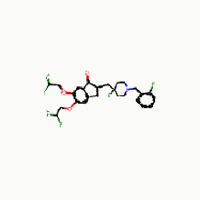 O=C1c2cc(OCC(F)F)c(OCC(F)F)cc2CC1CC1(F)CCN(Cc2ccccc2F)CC1